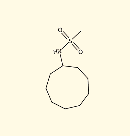 CS(=O)(=O)NC1CCCCCCCC1